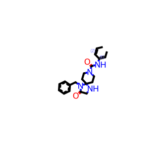 C/C=C\C(=C/C)NC(=O)N1CCC2(CC1)NCC(=O)N2Cc1ccccc1